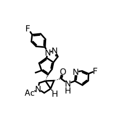 CC(=O)N1C[C@@H]2[C@@H](C(=O)Nc3ccc(F)cn3)[C@]2(c2cc3cnn(-c4ccc(F)cc4)c3cc2C)C1